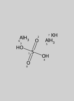 O=S(=O)(O)O.[AlH3].[AlH3].[KH]